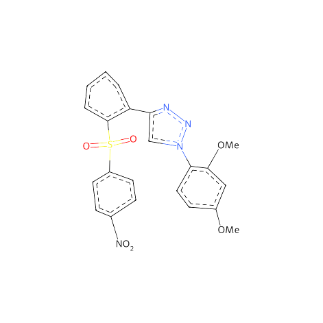 COc1ccc(-n2cc(-c3ccccc3S(=O)(=O)c3ccc([N+](=O)[O-])cc3)nn2)c(OC)c1